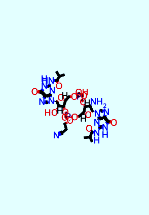 CC(C)C(=O)Nc1nc2c(ncn2[C@@H]2O[C@@H]3COP(=O)(OCCC#N)O[C@H]4[C@@H](O)[C@H](n5cnc6c(=O)[nH]c(NC(=O)C(C)C)nc65)O[C@@H]4COP(=O)(O)O[C@H]3[C@H]2N)c(=O)[nH]1